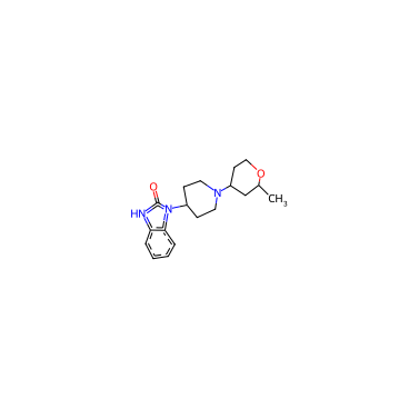 CC1CC(N2CCC(n3c(=O)[nH]c4ccccc43)CC2)CCO1